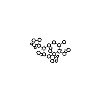 c1ccc(-c2cc(-c3cccc(-c4ccc(-c5nc(-c6ccc7c(c6)-c6ccccc6-c6ccccc6C76c7ccccc7-c7ccccc76)nc(-c6cccc7oc8ccccc8c67)n5)c5c4oc4ccccc45)c3)cc(-c3nc(-c4ccc5c(c4)C4(c6ccccc6-c6ccccc6-5)c5ccccc5-c5ccccc54)nc(-c4cccc5c4oc4ccccc45)n3)c2)cc1